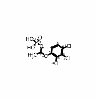 CC(Oc1ccc(Cl)c(Cl)c1Cl)OP(=O)(O)O